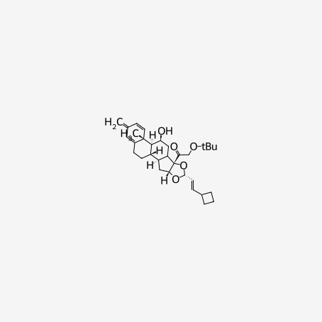 C=C1C=C[C@@]2(C)C(=C1)CC[C@@H]1[C@@H]2[C@@H](O)CC2[C@H]1C[C@H]1O[C@@H](/C=C/C3CCC3)O[C@@]21C(=O)COC(C)(C)C